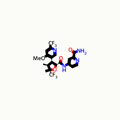 COc1cc(C(F)(F)F)ncc1[C@@H]1[C@H](C(=O)Nc2ccnc(C(N)=O)c2)O[C@](C)(C(F)(F)F)[C@H]1C